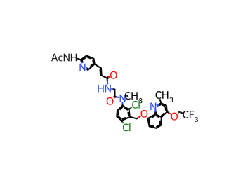 CC(=O)Nc1ccc(C=CC(=O)NCC(=O)N(C)c2ccc(Cl)c(COc3cccc4c(OCC(F)(F)F)cc(C)nc34)c2Cl)cn1